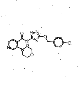 O=C(Nc1nnc(OCc2ccc(Cl)cc2)s1)c1ccncc1N1CCOCC1